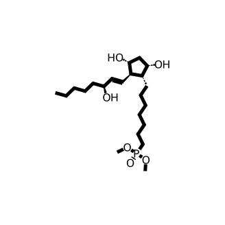 CCCCC[C@H](O)/C=C/[C@@H]1[C@@H](CCCCCCCP(=O)(OC)OC)[C@@H](O)C[C@H]1O